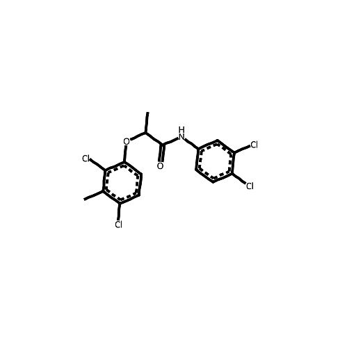 Cc1c(Cl)ccc(OC(C)C(=O)Nc2ccc(Cl)c(Cl)c2)c1Cl